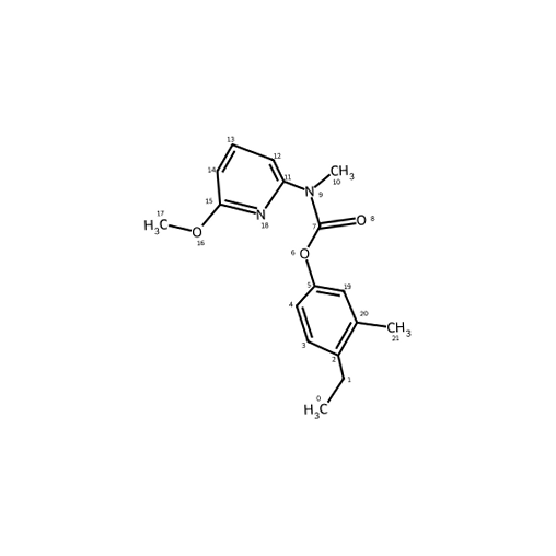 CCc1ccc(OC(=O)N(C)c2cccc(OC)n2)cc1C